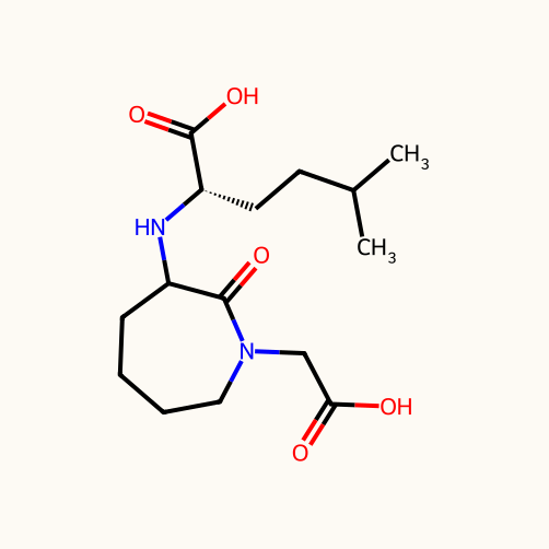 CC(C)CC[C@H](NC1CCCCN(CC(=O)O)C1=O)C(=O)O